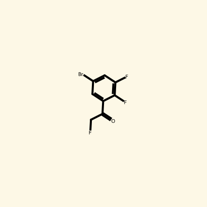 O=C(CF)c1cc(Br)cc(F)c1F